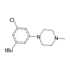 CN1CCN(c2cc(Cl)cc(C(C)(C)C)c2)CC1